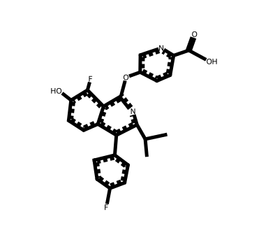 CC(C)c1nc(Oc2ccc(C(=O)O)nc2)c2c(F)c(O)ccc2c1-c1ccc(F)cc1